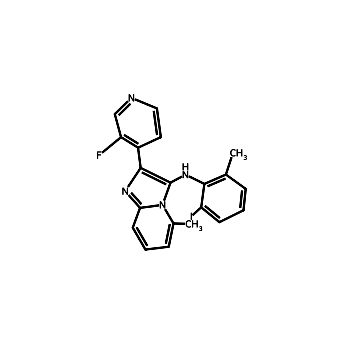 Cc1cccc(I)c1Nc1c(-c2ccncc2F)nc2cccc(C)n12